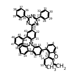 C=Cc1oc2cccc(-c3ccc4c5ccccc5n(-c5ccc(-c6nc(-c7ccccc7)nc(-c7ccccc7)n6)cc5-c5ccccc5)c4c3)c2c1/C=C\C